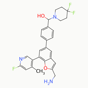 Cc1cc(F)ncc1-c1cc(-c2ccc(C(O)N3CCC(F)(F)CC3)cc2)cc2cc(CN)oc12